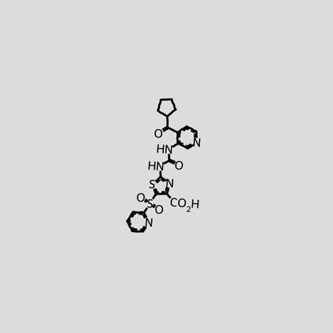 O=C(Nc1nc(C(=O)O)c(S(=O)(=O)c2ccccn2)s1)Nc1cnccc1C(=O)C1CCCC1